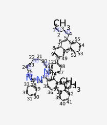 C/C=C\C=C/c1cc2ccc(-c3ccc(-c4c(C5=N/C=C\C=C/C=C/C=N/C(c6ccccc6)=N\5)ccc(-c5ccccc5C)c4C)cc3)cc2c2ccccc12